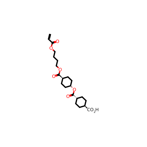 C=CC(=O)OCCCCOC(=O)[C@H]1CC[C@H](OC(=O)[C@H]2CC[C@H](C(=O)O)CC2)CC1